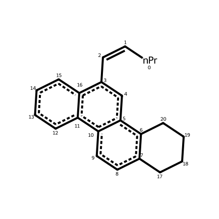 CCC/C=C\c1cc2c3c(ccc2c2ccccc12)CCCC3